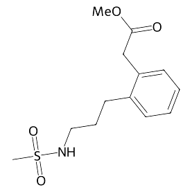 COC(=O)Cc1ccccc1CCCNS(C)(=O)=O